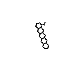 Fc1cccc2cc3cc4cc5ccccc5cc4cc3cc12